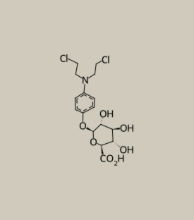 O=C(O)[C@H]1O[C@@H](Oc2ccc(N(CCCl)CCCl)cc2)[C@H](O)[C@@H](O)[C@@H]1O